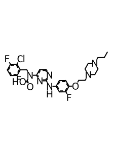 CCCN1CCN(CCOc2ccc(Nc3nccc(N(Cc4c(F)ccc(F)c4Cl)C(=O)O)n3)cc2F)CC1